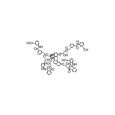 C#Cc1cccc(NC(=O)c2cccc(CC(=O)OCC(O)COc3ccc4ccc(OCC(O)COC(=O)c5ccccc5C(=O)Nc5cccc(C#C)c5)cc4c3Cc3c(OCC(O)COC(=O)Cc4cccc(C(=O)Nc5cccc(C#C)c5)c4)ccc4ccc(OCC(O)COC(=O)c5ccccc5C(=O)Nc5cccc(C#C)c5)cc34)c2)c1